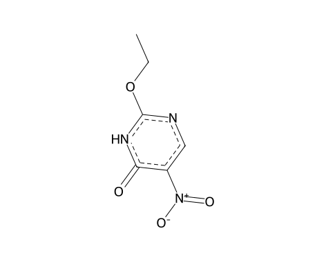 CCOc1ncc([N+](=O)[O-])c(=O)[nH]1